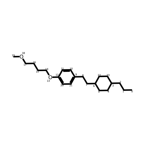 CCCC1CCC(CCc2ccc(OCCCCOC)cc2)CC1